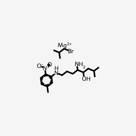 CC(C)CBr.Cc1ccc([N+](=O)[O-])c(NCCCC(N)C(O)CC(C)C)c1.[Mg+2]